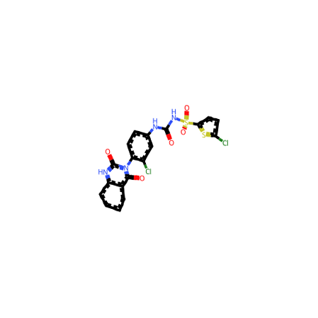 O=C(Nc1ccc(-n2c(=O)[nH]c3ccccc3c2=O)c(Cl)c1)NS(=O)(=O)c1ccc(Cl)s1